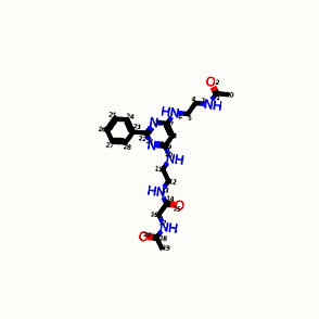 CC(=O)NCCNc1cc(NCCNC(=O)CNC(C)=O)nc(-c2ccccc2)n1